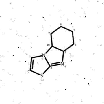 C1=CN2C(=NC3CCCCC32)S1